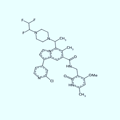 COc1cc(C)[nH]c(=O)c1CNC(=O)c1cc2c(-c3ccnc(Cl)c3)ccn2c(C(C)N2CCN(C(F)C(F)F)CC2)c1C